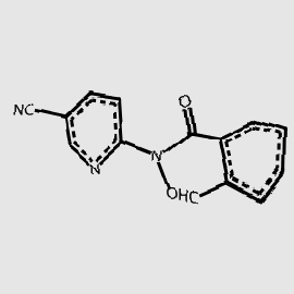 CN(C(=O)c1ccccc1C=O)c1ccc(C#N)cn1